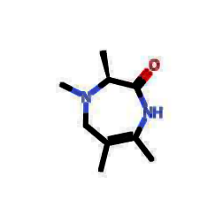 CC1=C(C)NC(=O)[C@H](C)N(C)C1